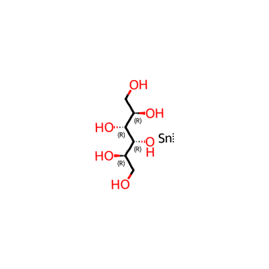 OC[C@@H](O)[C@@H](O)[C@H](O)[C@H](O)CO.[Sn]